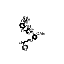 CC[C@@H](CCCOc1ccc(OC)c(Nc2ncc(Cl)c(Nc3ccccc3NS(C)(=O)=O)n2)c1)N1CCOCC1